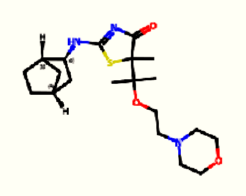 CC(C)(OCCN1CCOCC1)C1(C)SC(N[C@H]2C[C@@H]3CC[C@H]2C3)=NC1=O